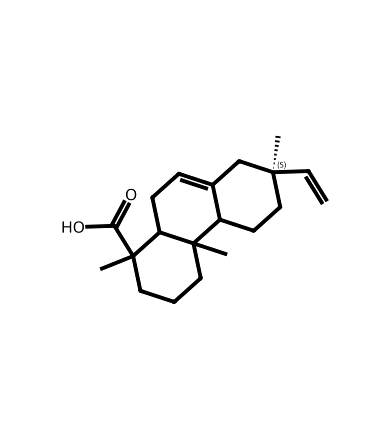 C=C[C@@]1(C)CCC2C(=CCC3C(C)(C(=O)O)CCCC23C)C1